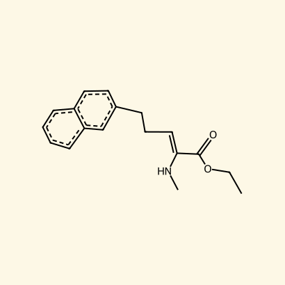 CCOC(=O)C(=CCCc1ccc2ccccc2c1)NC